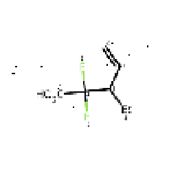 C=CC(CC)C(F)(F)C(=O)O